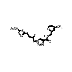 CC(=O)Nc1nnc(CCC(F)Cn2cc(C(=O)NCc3cc(C(F)(F)F)ccn3)nn2)s1